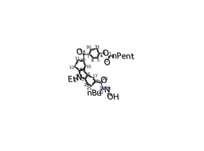 CCCCCC(=O)Oc1ccc(C(=O)c2ccc3c(c2)c2cc(C(=O)/C(CCCC)=N/O)ccc2n3CC)cc1